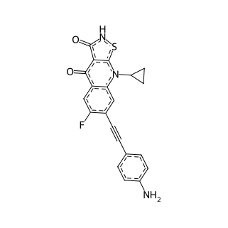 Nc1ccc(C#Cc2cc3c(cc2F)c(=O)c2c(=O)[nH]sc2n3C2CC2)cc1